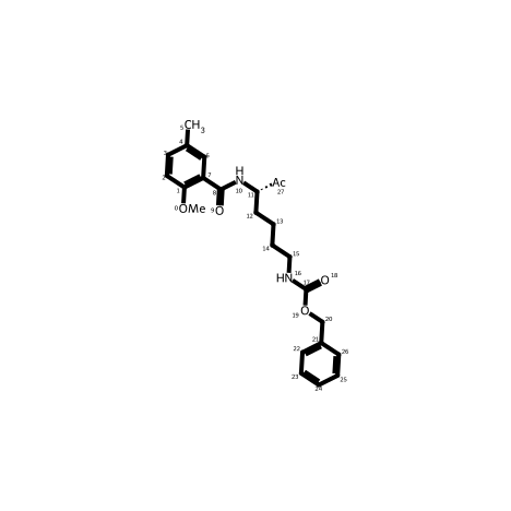 COc1ccc(C)cc1C(=O)N[C@@H](CCCCNC(=O)OCc1ccccc1)C(C)=O